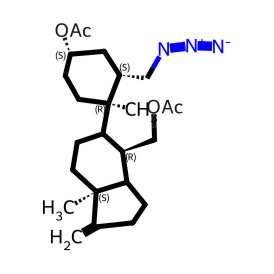 C=C1CCC2[C@H](COC(C)=O)C([C@@]3(C)CC[C@H](OC(C)=O)C[C@@H]3CN=[N+]=[N-])CC[C@]12C